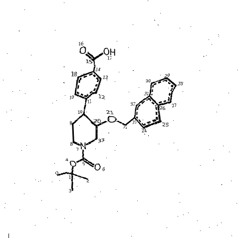 CC(C)(C)OC(=O)N1CCC(c2ccc(C(=O)O)cc2)C(OCc2ccc3ccccc3c2)C1